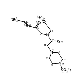 C#CCN(CC(=O)NOC(C)(C)C)C(=O)CN1CCN(C(=O)OCC)CC1